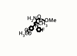 COCCOC(=O)C(N)c1cc(-c2ccc(S(C)(=O)=O)cc2)n(-c2cccc(F)c2)c1C